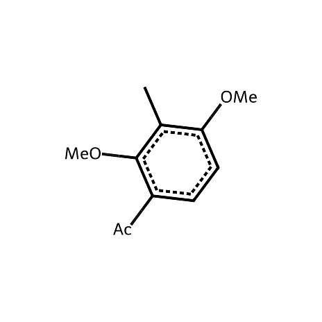 COc1ccc(C(C)=O)c(OC)c1C